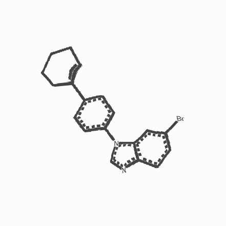 Brc1ccc2ncn(-c3ccc(C4=CCCCC4)cc3)c2c1